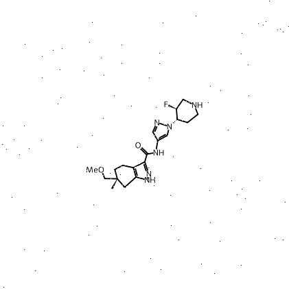 COC[C@]1(C)CCc2c(C(=O)Nc3cnn([C@H]4CCNC[C@@H]4F)c3)n[nH]c2C1